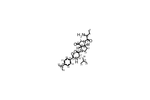 CC[C@H](N)C(=O)N1CC(=O)[C@@H]2[C@H]1CCN2C(=O)[C@H](CC(C)C)NC(=O)c1ccc(N(C)C)cc1